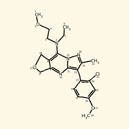 CCN(CCOC)c1c2c(nc3c(-c4ccc(OC)cc4Cl)c(C)nn13)COC2